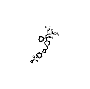 CCC[C@@H](CC(C#N)(c1ccccc1)C1CCN(CC2CN(c3ccc(S(=O)(=O)C4CC4)cc3)C2)CC1)NC(C)=O